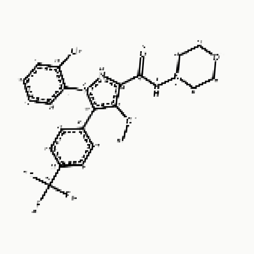 COc1c(C(=O)NN2CCOCC2)nn(-c2ccccc2Cl)c1-c1ccc(C(F)(F)F)cc1